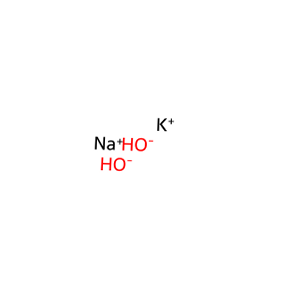 [K+].[Na+].[OH-].[OH-]